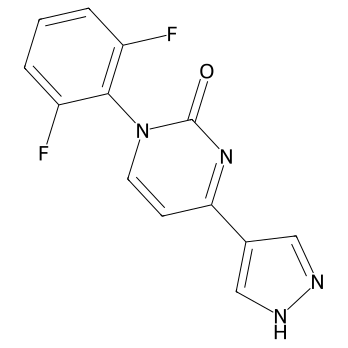 O=c1nc(-c2cn[nH]c2)ccn1-c1c(F)cccc1F